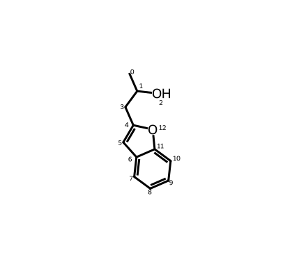 CC(O)Cc1cc2ccccc2o1